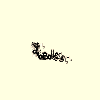 CC[C@H](NC(=O)OC)C(=O)N1CCCC1C(=O)Nc1ccc(CN(Cc2ccc(NC(=O)C3CCCN3C(=O)[C@H](CC)NC(=O)OC)cc2)c2ccccc2)cc1